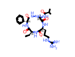 CC[C@@H]1NC(=O)[C@H](CCCNC(=N)N)NC(=O)[C@](C)(NC(=O)C(C)C)NNC(=O)[C@@H](c2ccccc2)NC1=O